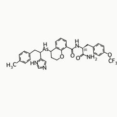 Cc1ccc(CC([AsH]C2CCOc3c(C(=O)N[C@@H](Cc4ccc(OC(F)(F)F)cc4)C(N)=O)cccc32)c2cnc[nH]2)cc1